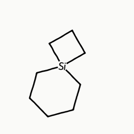 C1CC[Si]2(CC1)CCC2